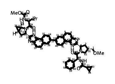 COC[C@H]1C[C@@H](c2nc3ccc4cc(-c5ccc6c(ccc7nc([C@@H]8C[C@H]9C[C@H]9N8C(=O)C(NC(=O)OC)C(C)C)[nH]c76)c5)ccc4c3[nH]2)N(C(=O)[C@H](NC(=O)C2CC2)c2ccccc2)C1